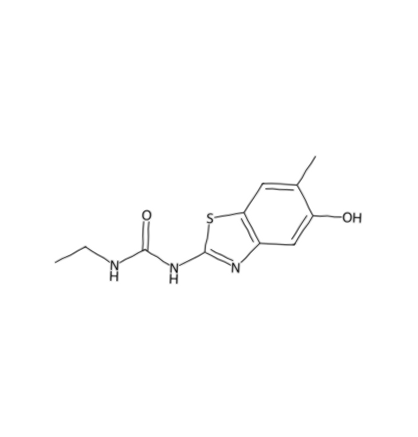 CCNC(=O)Nc1nc2cc(O)c(C)cc2s1